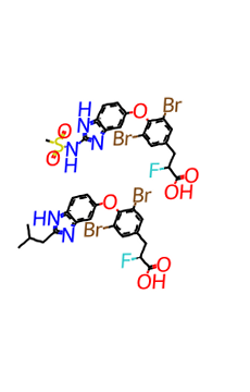 CC(C)Cc1nc2cc(Oc3c(Br)cc(C[C@H](F)C(=O)O)cc3Br)ccc2[nH]1.CS(=O)(=O)Nc1nc2cc(Oc3c(Br)cc(CC(F)C(=O)O)cc3Br)ccc2[nH]1